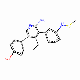 CCc1c(-c2ccc(O)cc2)cnc(N)c1-c1cccc(NSC)c1